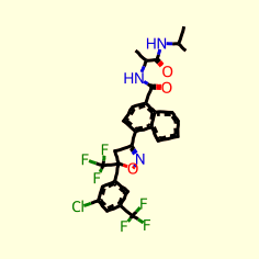 CC(C)NC(=O)C(C)NC(=O)c1ccc(C2=NOC(c3cc(Cl)cc(C(F)(F)F)c3)(C(F)(F)F)C2)c2ccccc12